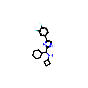 Fc1ccc(-c2c[nH]c(C(NC3CCC3)C3CCCCC3)n2)cc1F